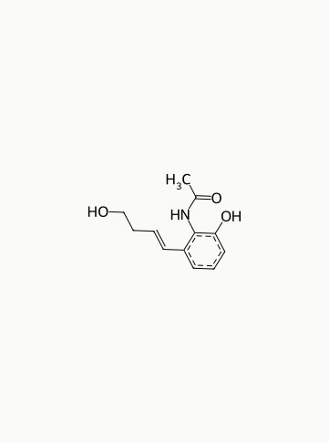 CC(=O)Nc1c(O)cccc1C=CCCO